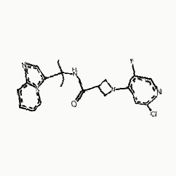 CC(C)(NC(=O)C1CN(c2cc(Cl)ncc2F)C1)c1cnc2ccccn12